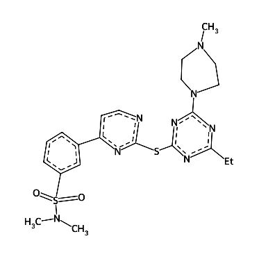 CCc1nc(Sc2nccc(-c3cccc(S(=O)(=O)N(C)C)c3)n2)nc(N2CCN(C)CC2)n1